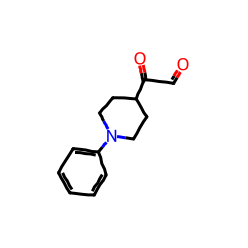 O=CC(=O)C1CCN(c2ccccc2)CC1